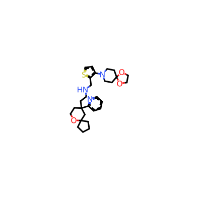 c1ccc(C2(CCNCc3sccc3N3CCC4(CC3)OCCO4)CCOC3(CCCC3)C2)nc1